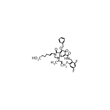 C=CC(C)N1CN(C=CCCCC(=O)O)C(=O)c2c(OCc3ccccc3)c(=O)c(C(=O)NCc3c(F)cc(F)cc3F)cn21